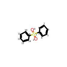 O=S(=O)(c1cc[c]cc1)c1cc[c]cc1